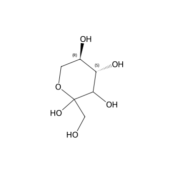 OCC1(O)OC[C@@H](O)[C@H](O)C1O